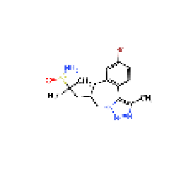 Cc1nnn2c1-c1ccc(Br)cc1CC(CC(C)(C)[S@@+](N)[O-])C2